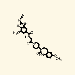 COc1ccc2c(c1)CCN(C1CCN(C(=O)CNC(=O)c3cc(C)c4[nH]/c(=N/C#N)[nH]c4c3)CC1)C(=O)N2